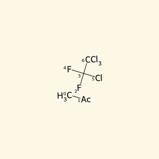 CC(C)=O.FC(F)(Cl)C(Cl)(Cl)Cl